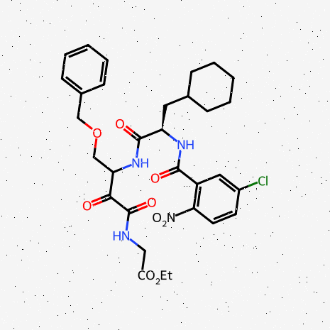 CCOC(=O)CNC(=O)C(=O)C(COCc1ccccc1)NC(=O)[C@@H](CC1CCCCC1)NC(=O)c1cc(Cl)ccc1[N+](=O)[O-]